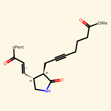 CCCCCC(=O)/C=C/[C@H]1CNC(=O)[C@@H]1CC#CCCCC(=O)OC